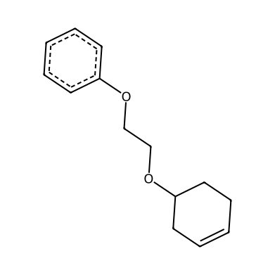 C1=CCC(OCCOc2ccccc2)CC1